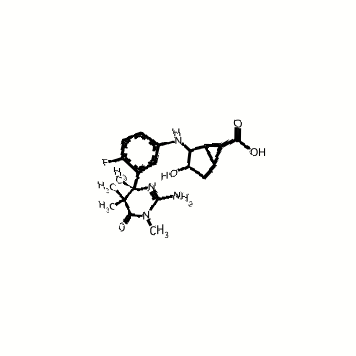 CN1C(=O)C(C)(C)[C@](C)(c2cc(NC3C(O)CC4C(C(=O)O)C43)ccc2F)N=C1N